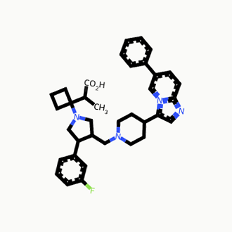 CC(C(=O)O)C1(N2CC(CN3CCC(c4cnc5ccc(-c6ccccc6)cn45)CC3)C(c3cccc(F)c3)C2)CCC1